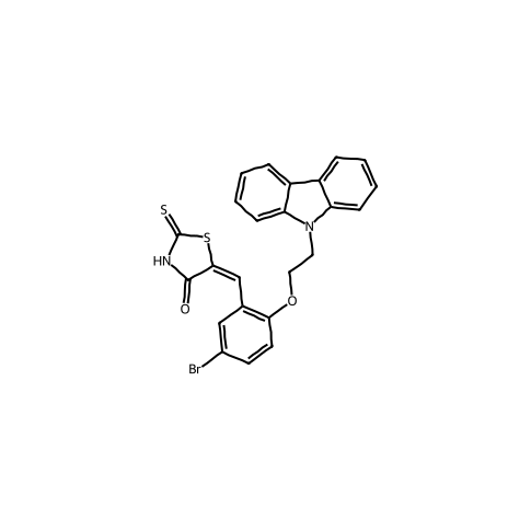 O=C1NC(=S)S/C1=C/c1cc(Br)ccc1OCCn1c2ccccc2c2ccccc21